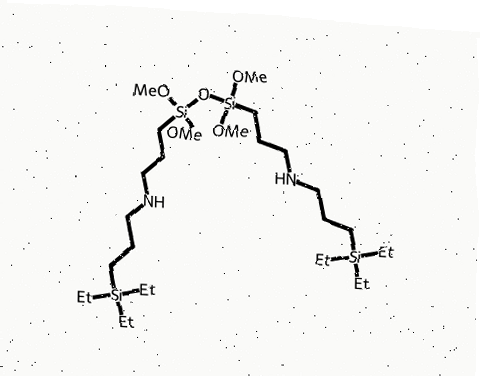 CC[Si](CC)(CC)CCCNCCC[Si](OC)(OC)O[Si](CCCNCCC[Si](CC)(CC)CC)(OC)OC